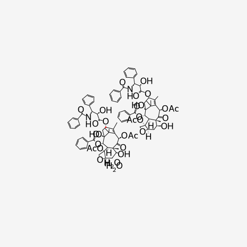 CC(=O)O[C@H]1C(=O)[C@@]2(C)[C@H]([C@H](OC(=O)c3ccccc3)[C@]3(O)C[C@H](OC(=O)[C@H](O)[C@@H](NC(=O)c4ccccc4)c4ccccc4)C(C)=C1C3(C)C)[C@]1(OC(C)=O)CO[C@@H]1C[C@@H]2O.CC(=O)O[C@H]1C(=O)[C@@]2(C)[C@H]([C@H](OC(=O)c3ccccc3)[C@]3(O)C[C@H](OC(=O)[C@H](O)[C@@H](NC(=O)c4ccccc4)c4ccccc4)C(C)=C1C3(C)C)[C@]1(OC(C)=O)CO[C@@H]1C[C@@H]2O.O.O